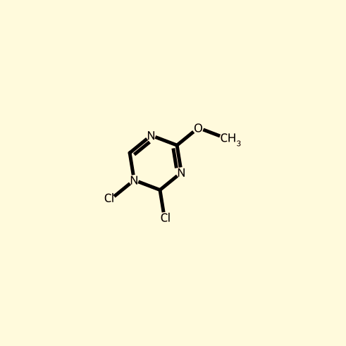 COC1=NC(Cl)N(Cl)C=N1